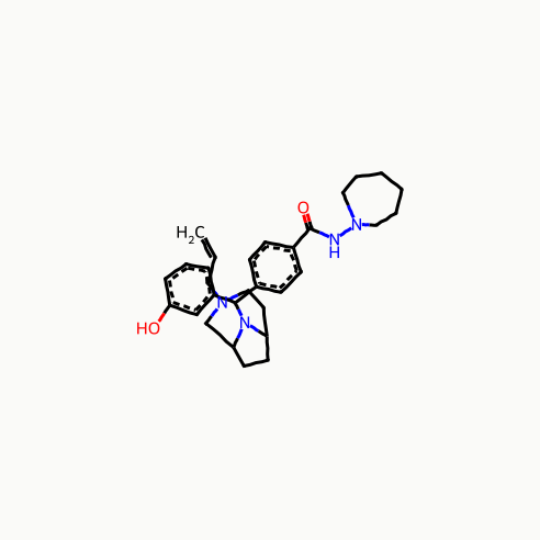 C=CCN1CCC2CCC(C1)N2C(c1ccc(C(=O)NN2CCCCCC2)cc1)c1cccc(O)c1